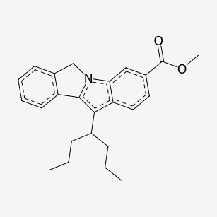 CCCC(CCC)c1c2n(c3cc(C(=O)OC)ccc13)Cc1ccccc1-2